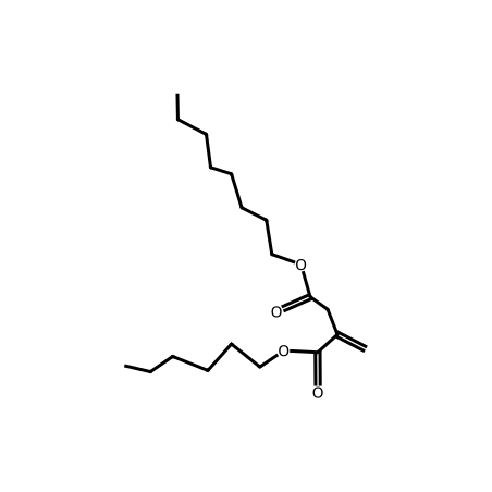 C=C(CC(=O)OCCCCCCCC)C(=O)OCCCCCC